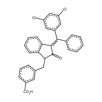 O=C(O)c1cccc(CN2C(=O)/C(=C(\c3ccccc3)c3cc(Cl)cc(Cl)c3)c3ccccc32)c1